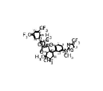 COc1ccc(N(C)c2nc(C(F)(F)F)cs2)cc1C1=C(CN2C(=O)O[C@H](c3cc(C(F)(F)F)cc(C(F)(F)F)c3)[C@@H]2C)CC(C)(C)CC1